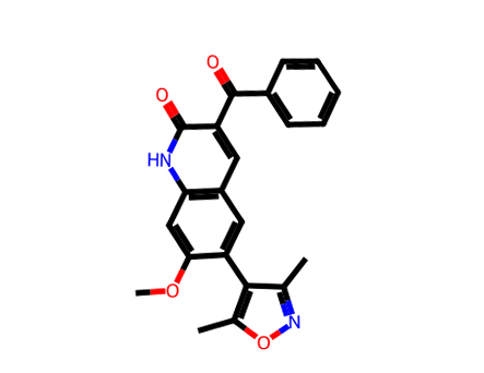 COc1cc2[nH]c(=O)c(C(=O)c3ccccc3)cc2cc1-c1c(C)noc1C